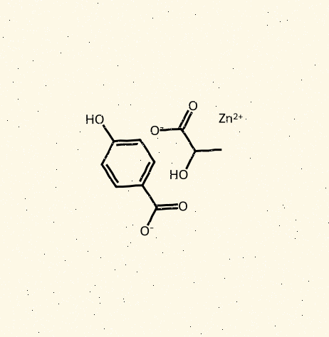 CC(O)C(=O)[O-].O=C([O-])c1ccc(O)cc1.[Zn+2]